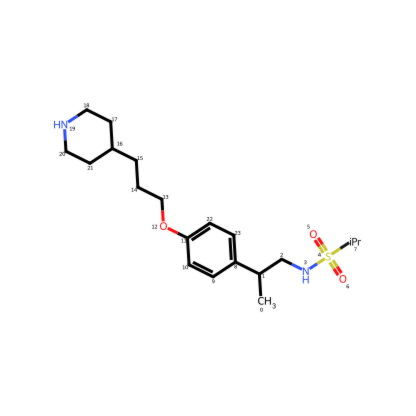 CC(CNS(=O)(=O)C(C)C)c1ccc(OCCCC2CCNCC2)cc1